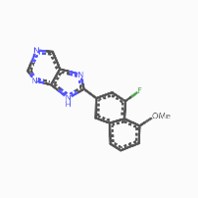 COc1cccc2cc(-c3nc4cncnc4[nH]3)cc(F)c12